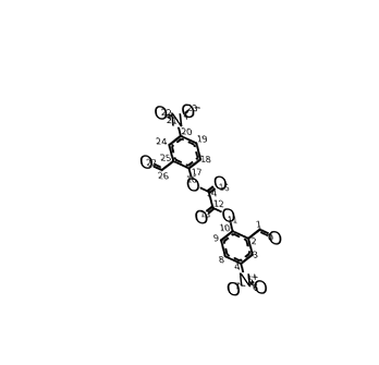 O=Cc1cc([N+](=O)[O-])ccc1OC(=O)C(=O)Oc1ccc([N+](=O)[O-])cc1C=O